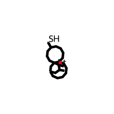 CC[C@]1(C)C(C)CC2CCCCCCC3CCCCC(CS)CCCC31C2